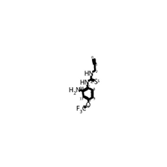 C#CCNC(=S)Nc1ccc(OC(F)(F)F)cc1N